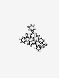 COC(=O)C1=NCC2=C(S1)C1=C(C3CCCCC3)C3=CC=CC3C1=C(N(CC(=O)N1CCCCC1)CC(=O)N1CCCCC1)OC2